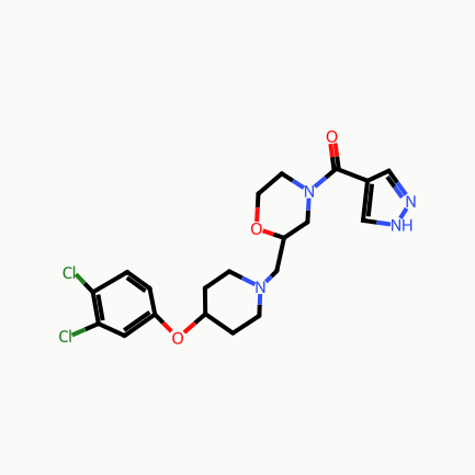 O=C(c1cn[nH]c1)N1CCOC(CN2CCC(Oc3ccc(Cl)c(Cl)c3)CC2)C1